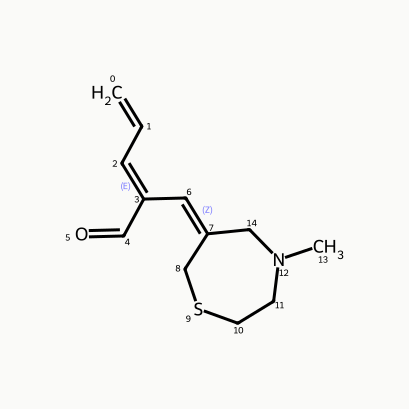 C=C/C=C(C=O)\C=C1/CSCCN(C)C1